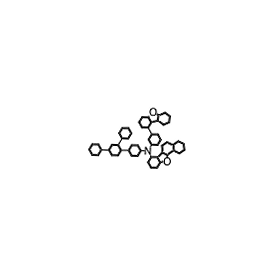 c1ccc(-c2ccc(-c3ccc(N(c4cccc(-c5cccc6oc7ccccc7c56)c4)c4cccc5oc6c7ccccc7ccc6c45)cc3)c(-c3ccccc3)c2)cc1